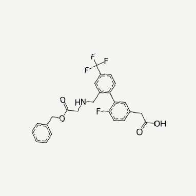 O=C(O)Cc1ccc(F)c(-c2ccc(C(F)(F)F)cc2CNCC(=O)OCc2ccccc2)c1